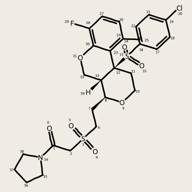 O=C(CS(=O)(=O)CC[C@@H]1OCC[C@@]2(S(=O)(=O)c3ccc(Cl)cc3)c3c(F)ccc(F)c3OC[C@@H]12)N1CCCC1